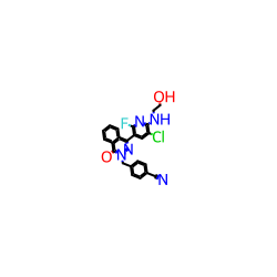 N#Cc1ccc(Cn2nc(-c3cc(Cl)c(NCCO)nc3F)c3ccccc3c2=O)cc1